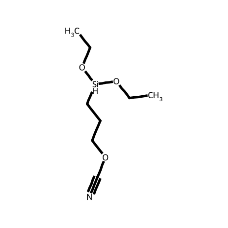 CCO[SiH](CCCOC#N)OCC